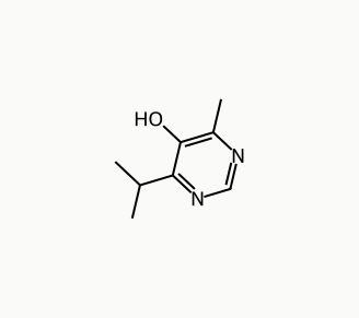 Cc1ncnc(C(C)C)c1O